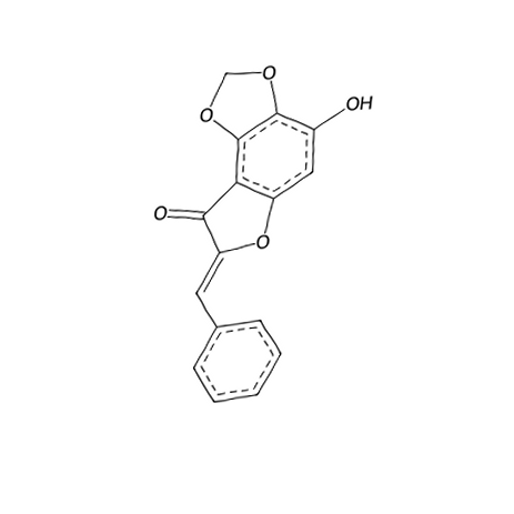 O=C1/C(=C/c2ccccc2)Oc2cc(O)c3c(c21)OCO3